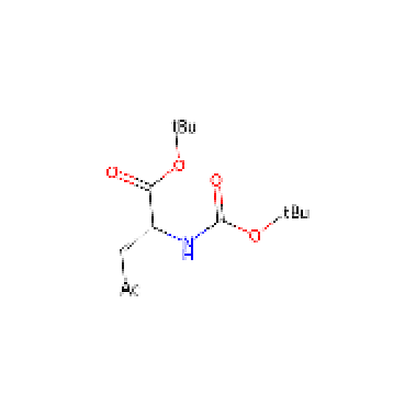 CC(=O)C[C@@H](NC(=O)OC(C)(C)C)C(=O)OC(C)(C)C